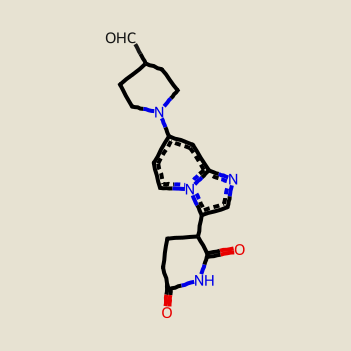 O=CC1CCN(c2ccn3c(C4CCC(=O)NC4=O)cnc3c2)CC1